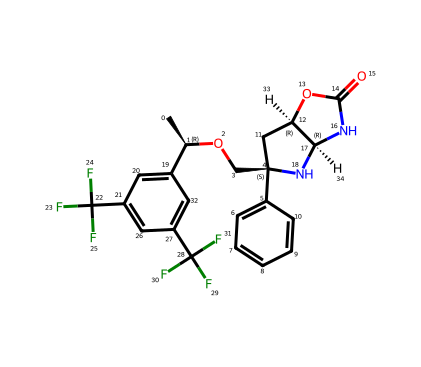 C[C@@H](OC[C@@]1(c2ccccc2)C[C@H]2OC(=O)N[C@H]2N1)c1cc(C(F)(F)F)cc(C(F)(F)F)c1